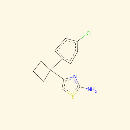 Nc1nc(C2(c3ccc(Cl)cc3)CCC2)cs1